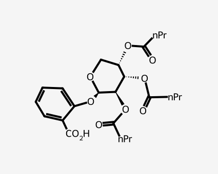 CCCC(=O)O[C@@H]1[C@@H](OC(=O)CCC)[C@@H](Oc2ccccc2C(=O)O)OC[C@@H]1OC(=O)CCC